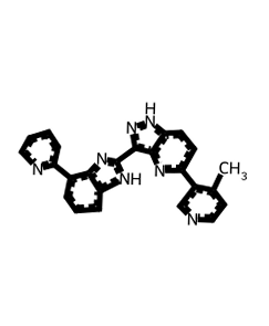 Cc1ccncc1-c1ccc2[nH]nc(-c3nc4c(-c5ccccn5)cccc4[nH]3)c2n1